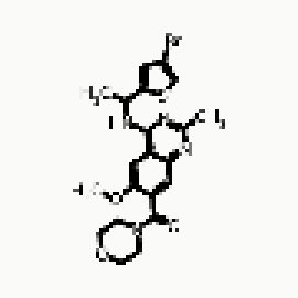 COc1cc2c(NC(C)c3cc(Br)cs3)nc(C)nc2cc1C(=O)N1CCOCC1